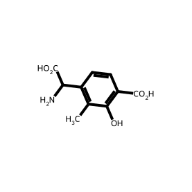 Cc1c(C(N)C(=O)O)ccc(C(=O)O)c1O